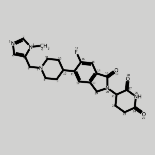 Cn1cncc1CN1CCC(c2cc3c(cc2F)C(=O)N(C2CCC(=O)NC2=O)C3)CC1